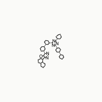 c1ccc(-c2ccc(-c3nc(-c4ccccc4)nc(-c4cccc(-c5cccc(-c6ncnc7c6oc6ccc8ccccc8c67)c5)c4)n3)cc2)cc1